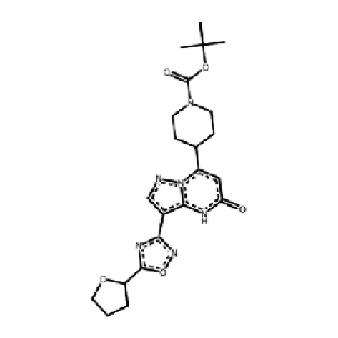 CC(C)(C)OC(=O)N1CCC(c2cc(=O)[nH]c3c(-c4noc(C5CCCO5)n4)cnn23)CC1